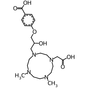 CN1CCN(C)CCN(CC(O)COc2ccc(C(=O)O)cc2)CCN(CC(=O)O)CC1